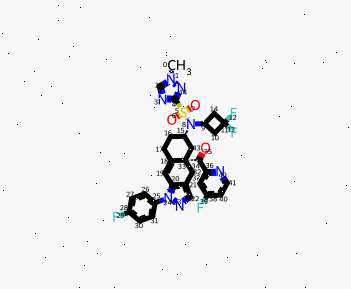 Cn1cnc(S(=O)(=O)N(C2CC(F)(F)C2)[C@H]2CCC3=Cc4c(cnn4-c4ccc(F)cc4)C[C@]3(C(=O)c3cc(F)ccn3)C2)n1